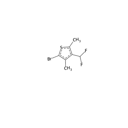 Cc1sc(Br)c(C)c1C(F)F